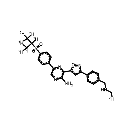 [2H]CNCc1ccc(-c2cc(-c3nc(-c4ccc(S(=O)(=O)C([2H])(C([2H])([2H])[2H])C([2H])([2H])[2H])cc4)cnc3N)on2)cc1